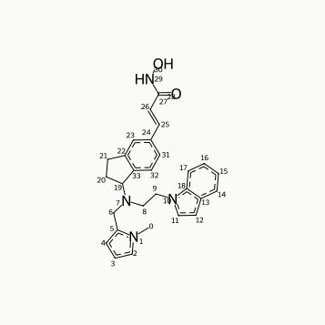 Cn1cccc1CN(CCn1ccc2ccccc21)C1CCc2cc(C=CC(=O)NO)ccc21